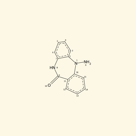 NN1c2ccccc2NC(=O)c2ccccc21